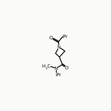 CC(C)C(=O)N1CC(C(=O)N(C)C(C)C)C1